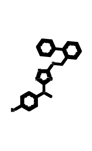 CN(c1ccc(Br)cc1)c1nnc(SCc2ccccc2-c2ccccc2)o1